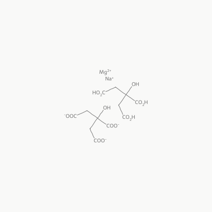 O=C(O)CC(O)(CC(=O)O)C(=O)O.O=C([O-])CC(O)(CC(=O)[O-])C(=O)[O-].[Mg+2].[Na+]